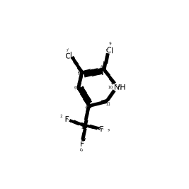 FC(F)(F)C1=CC(Cl)=C(Cl)NC1